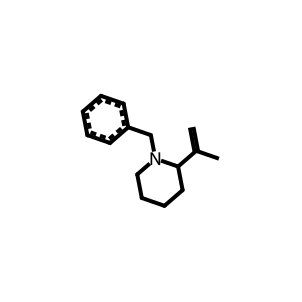 C=C(C)C1CCCCN1Cc1ccccc1